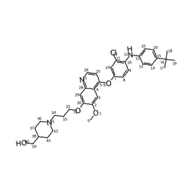 COc1cc2c(Oc3ccc(Nc4ccc(C(C)(C)C)cc4)c(Cl)c3)ccnc2cc1OCCCN1CCC(CO)CC1